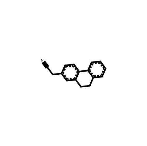 N#CCc1ccc2c(c1)CCc1ccccc1-2